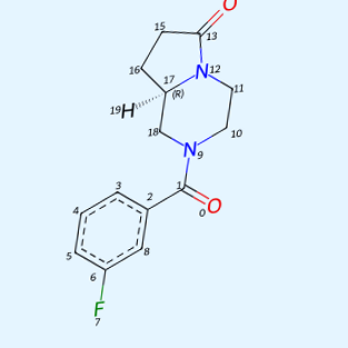 O=C(c1cccc(F)c1)N1CCN2C(=O)CC[C@@H]2C1